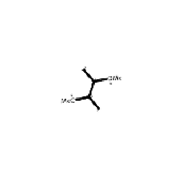 CO[C](C)[C](C)OC